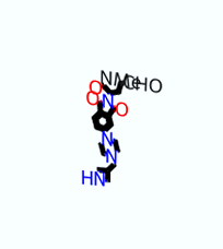 CNC(=O)C(CCC=O)N1C(=O)c2ccc(N3CCN(CC4CNC4)CC3)cc2C1=O